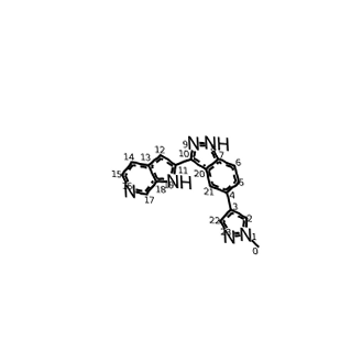 Cn1cc(-c2ccc3[nH]nc(-c4cc5ccncc5[nH]4)c3c2)cn1